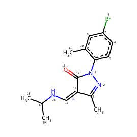 CC1=NN(c2ccc(Br)cc2C)C(=O)/C1=C\NC(C)C